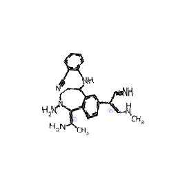 CN/C=C(\C=N)c1ccc2c(c1)C(Nc1ccccc1C#N)CCN(N)/C2=C(/C)N